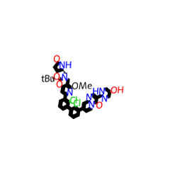 COc1nc(-c2cccc(-c3cccc(-c4ccn5c(=O)c(C6=NCC(O)CN6)cnc5c4)c3Cl)c2Cl)ccc1CN(C[C@@H]1CCC(=O)N1)C(=O)OC(C)(C)C